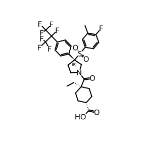 CC[C@]1(C(=O)N2CC[C@](c3ccc(C(F)(C(F)(F)F)C(F)(F)F)cc3)(S(=O)(=O)c3ccc(F)c(C)c3)C2)CC[C@H](C(=O)O)CC1